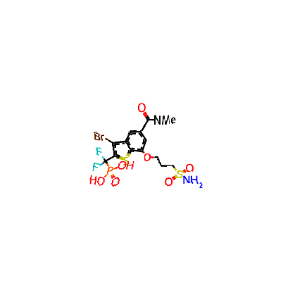 CNC(=O)c1cc(OCCCS(N)(=O)=O)c2sc(C(F)(F)P(=O)(O)O)c(Br)c2c1